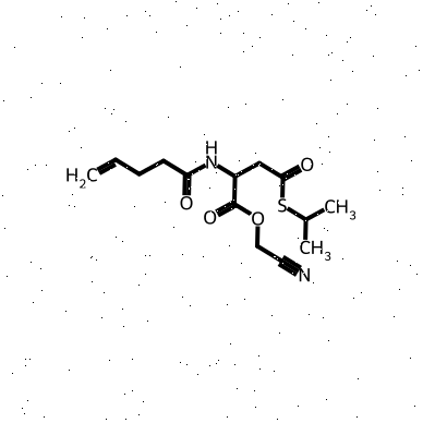 C=CCCC(=O)NC(CC(=O)SC(C)C)C(=O)OCC#N